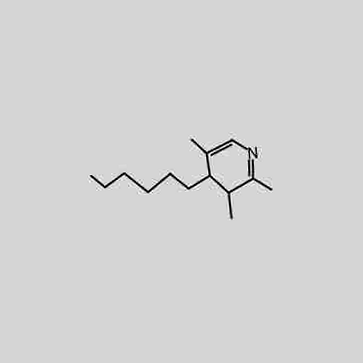 CCCCCCC1C(C)=CN=C(C)C1C